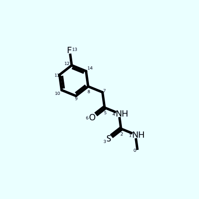 CNC(=S)NC(=O)Cc1cccc(F)c1